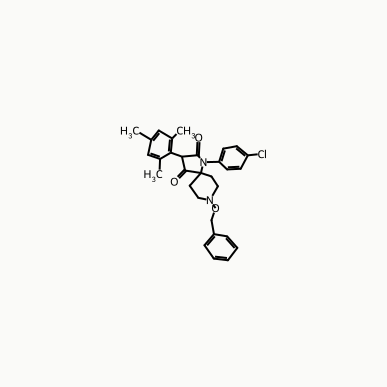 Cc1cc(C)c(C2C(=O)N(c3ccc(Cl)cc3)C3(CCN(OCc4ccccc4)CC3)C2=O)c(C)c1